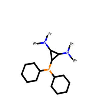 CC(C)N(C(C)C)C1C(N(C(C)C)C(C)C)C1P(C1CCCCC1)C1CCCCC1